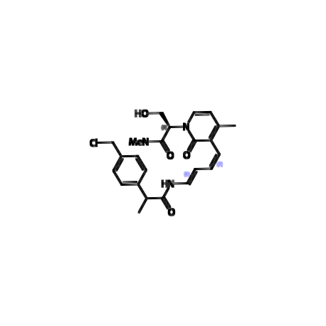 CNC(=O)[C@@H](CO)n1ccc(C)c(/C=C\C=C\NC(=O)C(C)c2ccc(CCl)cc2)c1=O